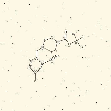 Cc1ccc(CN2CCN(C(=O)OC(C)(C)C)CC2)c(C#N)c1